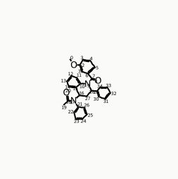 COc1cccc(C(=O)N2c3ccccc3C(N(C(C)=O)c3ccccc3)CC2c2ccccc2)c1